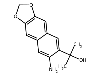 CC(C)(O)c1cc2cc3c(cc2cc1N)OCO3